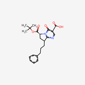 CC(C)(C)OC(=O)[C@@H]1CC(CCCc2ccccc2)c2ncc(C(=O)O)c(=O)n21